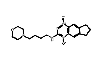 [O-][n+]1nc(NCCCCN2CCOCC2)[n+]([O-])c2cc3c(cc21)CCC3